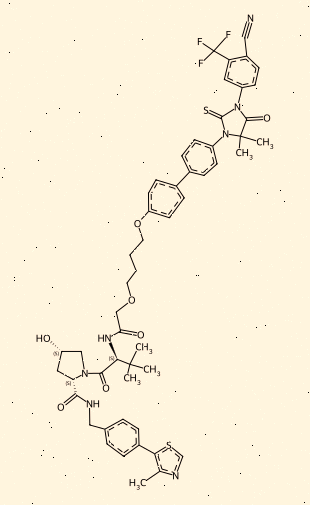 Cc1ncsc1-c1ccc(CNC(=O)[C@@H]2C[C@H](O)CN2C(=O)[C@@H](NC(=O)COCCCCOc2ccc(-c3ccc(N4C(=S)N(c5ccc(C#N)c(C(F)(F)F)c5)C(=O)C4(C)C)cc3)cc2)C(C)(C)C)cc1